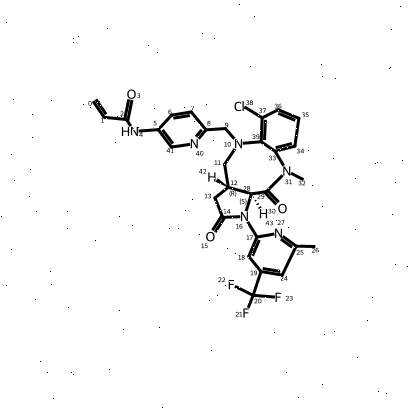 C=CC(=O)Nc1ccc(CN2C[C@H]3CC(=O)N(c4cc(C(F)(F)F)cc(C)n4)[C@@H]3C(=O)N(C)c3cccc(Cl)c32)nc1